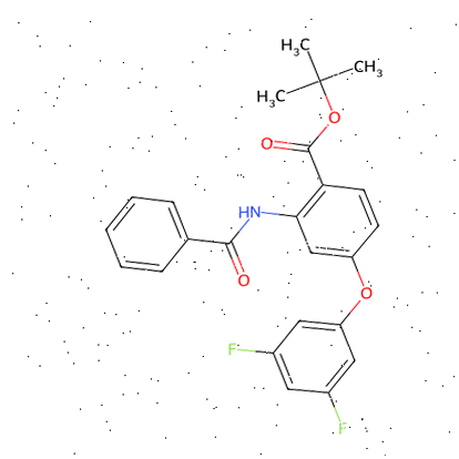 CC(C)(C)OC(=O)c1ccc(Oc2cc(F)cc(F)c2)cc1NC(=O)c1ccccc1